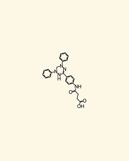 O=C(O)CCC(=O)Nc1ccc(C2=NN(c3ccccc3)CN(c3ccccc3)N2)cc1